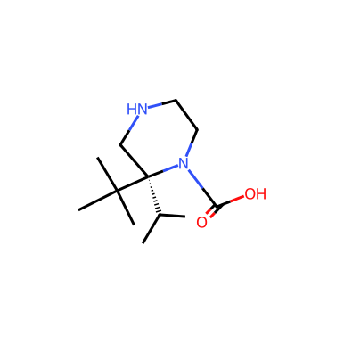 CC(C)[C@]1(C(C)(C)C)CNCCN1C(=O)O